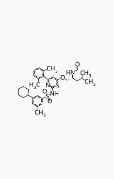 Cc1cc(C2CCCCC2)cc(S(=O)(=O)Nc2nc(OC[C@@H](CC(C)C)NC=O)cc(-c3c(C)cccc3C)n2)c1